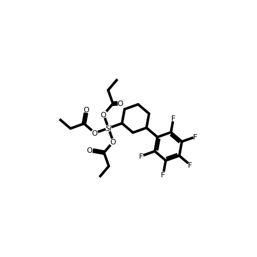 CCC(=O)O[Si](OC(=O)CC)(OC(=O)CC)C1CCCC(c2c(F)c(F)c(F)c(F)c2F)C1